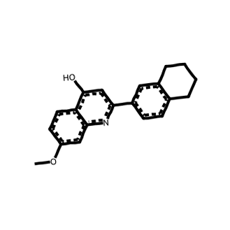 COc1ccc2c(O)cc(-c3ccc4c(c3)CCCC4)nc2c1